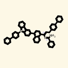 N/C(=N\C(=C/Cc1ccc(-c2ccccc2)cc1)c1ccc(-c2ccc3c(c2)c2ccccc2n3-c2ccc(-c3ccccc3)cc2)c2ccccc12)c1ccccc1